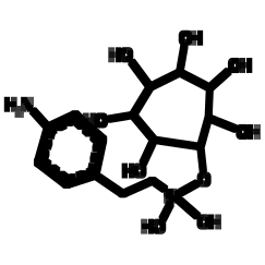 Nc1ccc(CC[Si](O)(O)OC2C(O)C(O)C(O)C(O)C(O)C2O)cc1